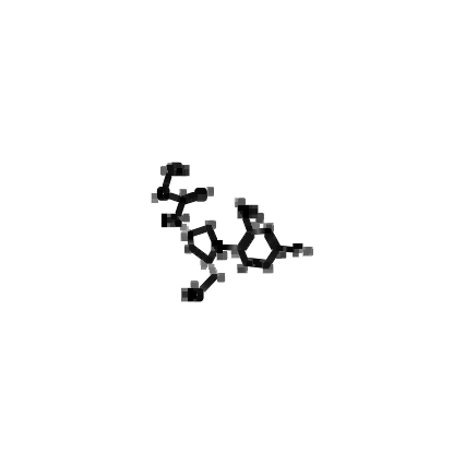 CC(C)(C)OC(=O)N[C@H]1C[C@@H](CO)N(c2ccc(F)cc2N)C1